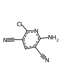 N#Cc1cc(C#N)c(Cl)nc1N